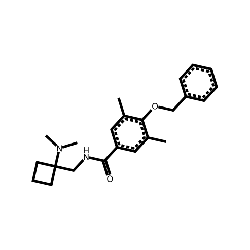 Cc1cc(C(=O)NCC2(N(C)C)CCC2)cc(C)c1OCc1ccccc1